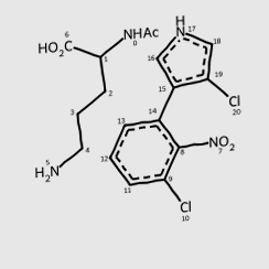 CC(=O)NC(CCCN)C(=O)O.O=[N+]([O-])c1c(Cl)cccc1-c1c[nH]cc1Cl